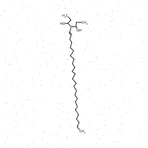 CCCCCCCCCCCCCCCCCCCCCCCCC=CN(C(O)CC)C(O)CC